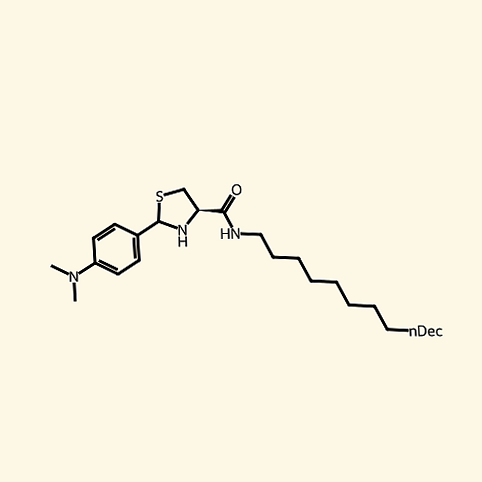 CCCCCCCCCCCCCCCCCCNC(=O)[C@@H]1CSC(c2ccc(N(C)C)cc2)N1